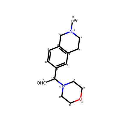 CCCN1CCc2cc(C(C=O)N3CCOCC3)ccc2C1